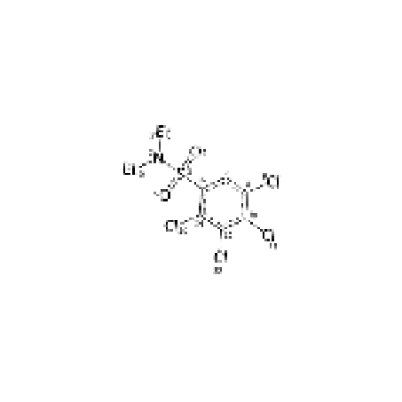 CCN(CC)S(=O)(=O)c1cc(Cl)c(Cl)c(Cl)c1Cl